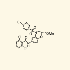 COCC1CN(S(=O)(=O)c2ccc(Cl)cc2)c2cc(NC(=O)c3c(Cl)cccc3Cl)ccc2O1